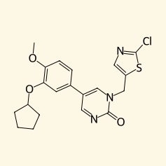 COc1ccc(-c2cnc(=O)n(Cc3cnc(Cl)s3)c2)cc1OC1CCCC1